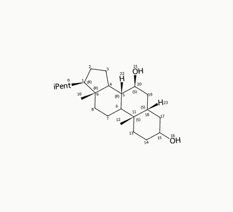 CCCC(C)[C@H]1CCC2[C@H]3C(CC[C@@]21C)[C@@]1(C)CCC(O)C[C@H]1C[C@@H]3O